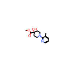 COC(=O)C1(O)CCN(c2ncccc2C)CC1